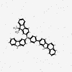 CC1(C)c2ccccc2-c2ccc(N(c3ccc(-c4ccc5c(c4)sc4c6ccccc6ccc54)cc3)c3ccc4sc5ccccc5c4c3)cc21